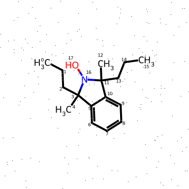 CCCC1(C)c2ccccc2C(C)(CCC)N1O